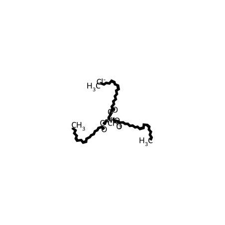 CCCCC/C=C\C/C=C\CCCCCCCC(=O)OCC[N+](C)(CCOC(=O)CCCCCCC/C=C\C/C=C\CCCCC)CCOC(=O)CCCCCCC/C=C\C/C=C\CCCCC.[Cl-]